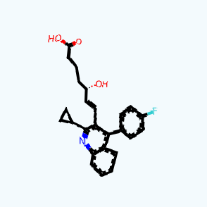 O=C(O)CCC[C@H](O)/C=C/c1c(C2CC2)nc2ccccc2c1-c1ccc(F)cc1